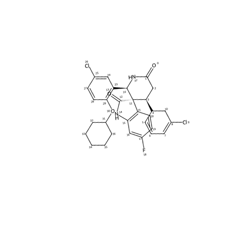 O=C1C[C@@H](C2C=CC=C(Cl)C2)[C@]2(C(=O)Nc3cc(F)ccc32)[C@@H](c2cc(Cl)ccc2OC2CCCCC2)N1